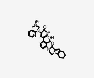 CC(C)N(C)CN(c1ccccn1)c1cc(-c2cccc(N3CCn4c(cc5c4CCCC5)C3=O)c2CO)cn(C)c1=O